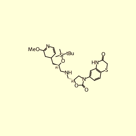 COC1=NC=CC(C[C@H](CNC[C@@H]2CN(c3ccc4c(c3)NC(=O)CS4)C(=O)O2)O[Si](C)(C)C(C)(C)C)C1